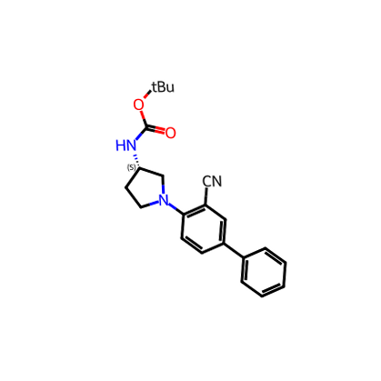 CC(C)(C)OC(=O)N[C@H]1CCN(c2ccc(-c3ccccc3)cc2C#N)C1